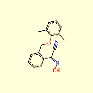 Cc1cccc(C)c1OCc1ccccc1/C(C#N)=N\O